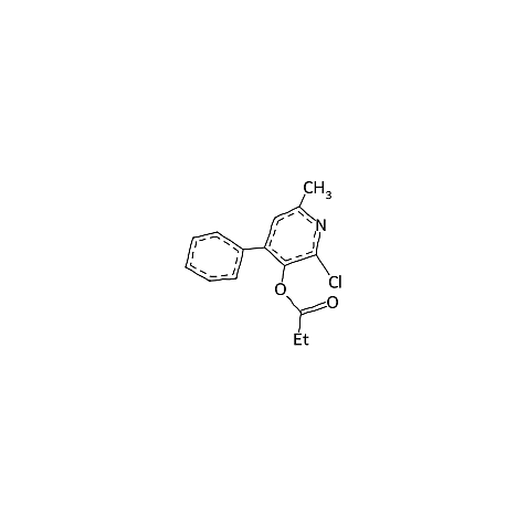 CCC(=O)Oc1c(-c2ccccc2)cc(C)nc1Cl